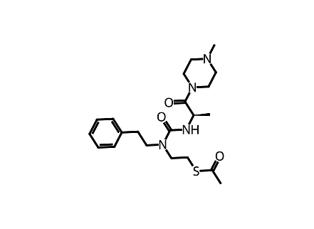 CC(=O)SCCN(CCc1ccccc1)C(=O)N[C@H](C)C(=O)N1CCN(C)CC1